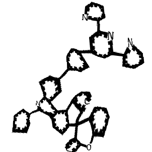 c1ccc(-c2nc3ccc(-c4ccc(-c5cc(-c6ccccn6)nc(-c6ccccn6)c5)cc4)cc3c3c4c(ccc23)C2(c3ccccc3Oc3ccccc32)c2ccccc2-4)cc1